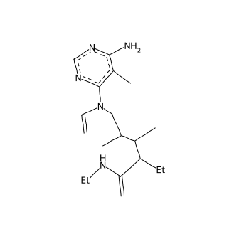 C=CN(CC(C)C(C)C(CC)C(=C)NCC)c1ncnc(N)c1C